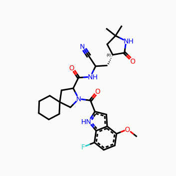 COc1ccc(F)c2[nH]c(C(=O)N3CC4(CCCCC4)CC3C(=O)NC(C#N)C[C@@H]3CC(C)(C)NC3=O)cc12